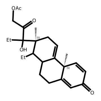 CCC1C2CCC3=CC(=O)C=C[C@]3(C)C2=CC[C@]1(C)C(O)(CC)C(=O)COC(C)=O